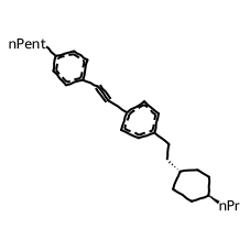 CCCCCc1ccc(C#Cc2ccc(CC[C@H]3CC[C@H](CCC)CC3)cc2)cc1